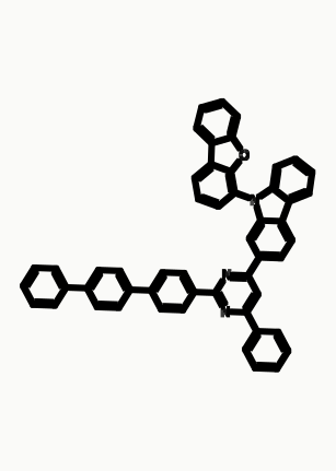 c1ccc(-c2ccc(-c3ccc(-c4nc(-c5ccccc5)cc(-c5ccc6c7ccccc7n(-c7cccc8c7oc7ccccc78)c6c5)n4)cc3)cc2)cc1